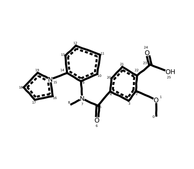 COc1cc(C(=O)N(C)c2ccccc2-n2cccc2)ccc1C(=O)O